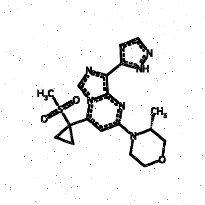 C[C@@H]1COCCN1c1cc(C2(S(C)(=O)=O)CC2)n2cnc(-c3ccn[nH]3)c2n1